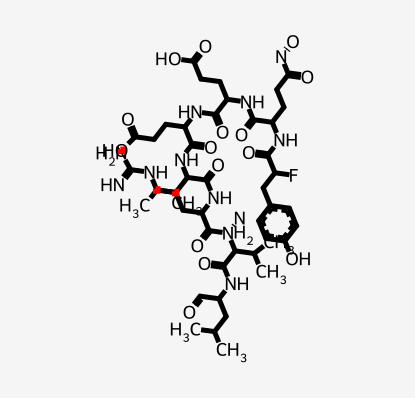 CCC(C)C(NC(=O)C(CCC(=O)O)NC(=O)C(CCC(=O)O)NC(=O)C(CCC(=O)N=O)NC(=O)C(F)Cc1ccc(O)cc1)C(=O)NC(CCCNC(=N)N)C(=O)N(N)C(C(=O)NC(C=O)CC(C)C)C(C)C